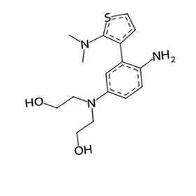 CN(C)c1sccc1-c1cc(N(CCO)CCO)ccc1N